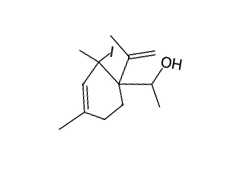 C=C(C)C1(C(C)O)CCC(C)=CC1(C)I